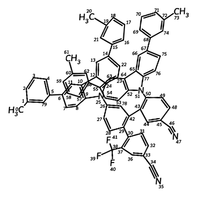 Cc1cccc(-c2ccc3c(c2)c2cc(-c4cccc(C)c4)ccc2n3-c2ccc(-c3ccc(C#N)cc3C(F)(F)F)c(-c3cc(C#N)ccc3-n3c4ccc(-c5cccc(C)c5)cc4c4cc(-c5cccc(C)c5)ccc43)c2)c1